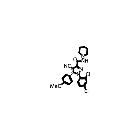 COc1ccc([C@@H]2[C@@H](C#N)C(C(=O)NN3CCCCC3)=NN2c2ccc(Cl)cc2Cl)cc1